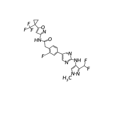 Cn1cc(Nc2ncc(-c3ccc(CC(=O)Nc4cc(C5(C(F)(F)F)CC5)on4)c(F)c3)cn2)c(C(F)F)n1